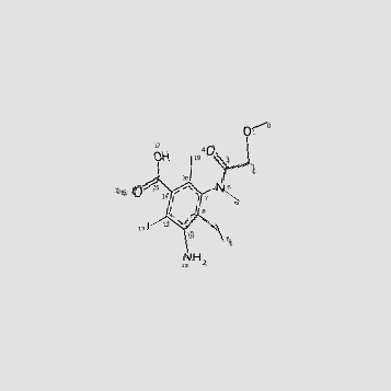 COCC(=O)N(C)c1c(I)c(N)c(I)c(C(=O)O)c1I